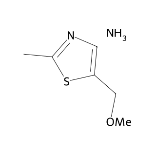 COCc1cnc(C)s1.N